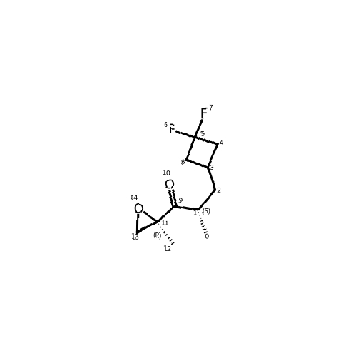 C[C@@H](CC1CC(F)(F)C1)C(=O)[C@@]1(C)CO1